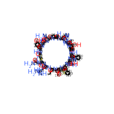 CCCC[C@H]1C(=O)N[C@@H](CCCNC(=N)N)C(=O)N[C@H](C(=O)NCC(N)=O)CSCC(=O)N[C@@H](Cc2ccc(O)cc2)C(=O)N(C)[C@@H](C)C(=O)N[C@@H](CC(N)=O)C(=O)N2CCC[C@H]2C(=O)N[C@@H](Cc2cnc[nH]2)C(=O)N[C@@H](CC(C)C)C(=O)N2C[C@H](O)C[C@H]2C(=O)N[C@@H](Cc2c[nH]c3ccccc23)C(=O)N[C@@H](CO)C(=O)N[C@@H](Cc2csc3ccccc23)C(=O)N(C)[C@@H](CCOC)C(=O)N1C